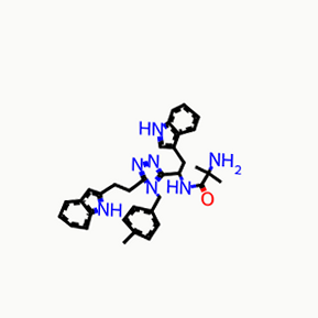 Cc1ccc(Cn2c(CCc3cc4ccccc4[nH]3)nnc2C(Cc2c[nH]c3ccccc23)NC(=O)C(C)(C)N)cc1